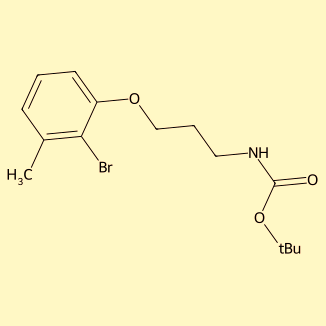 Cc1cccc(OCCCNC(=O)OC(C)(C)C)c1Br